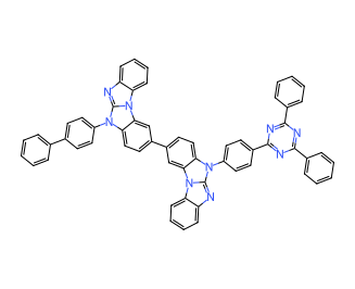 c1ccc(-c2ccc(-n3c4ccc(-c5ccc6c(c5)n5c7ccccc7nc5n6-c5ccc(-c6nc(-c7ccccc7)nc(-c7ccccc7)n6)cc5)cc4n4c5ccccc5nc34)cc2)cc1